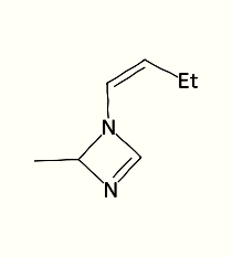 CC/C=C\N1C=NC1C